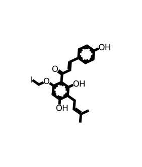 CC(C)=CCc1c(O)cc(OCI)c(C(=O)/C=C/c2ccc(O)cc2)c1O